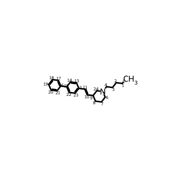 CCCCCN1CCCC(C=Cc2ccc(-c3ccccc3)cc2)C1